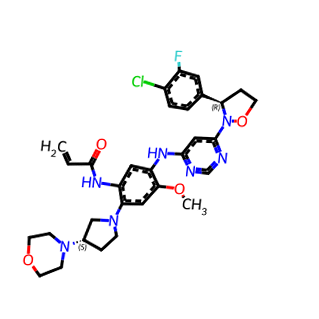 C=CC(=O)Nc1cc(Nc2cc(N3OCC[C@@H]3c3ccc(Cl)c(F)c3)ncn2)c(OC)cc1N1CC[C@H](N2CCOCC2)C1